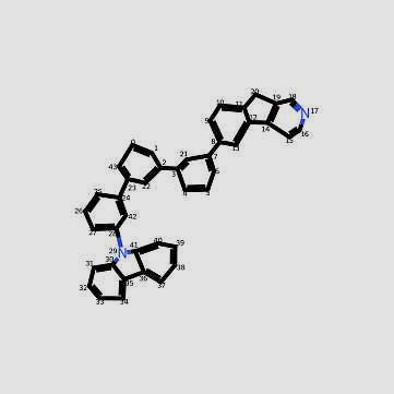 c1cc(-c2cccc(-c3ccc4c(c3)-c3ccncc3C4)c2)cc(-c2cccc(-n3c4ccccc4c4ccccc43)c2)c1